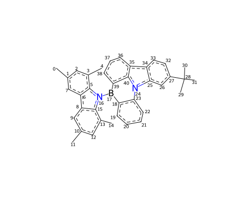 Cc1cc(C)c2c(c1)c1cc(C)cc(C)c1n2B1c2ccccc2-n2c3cc(C(C)(C)C)ccc3c3cccc1c32